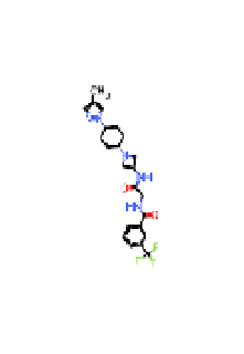 Cc1cnn([C@H]2CC[C@@H](N3CC(NC(=O)CNC(=O)c4cccc(C(F)(F)F)c4)C3)CC2)c1